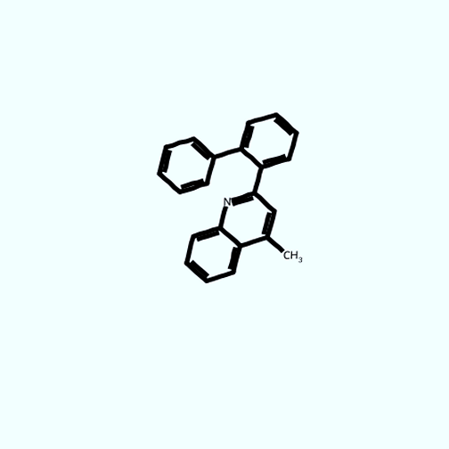 Cc1cc(-c2ccccc2-c2ccccc2)nc2ccccc12